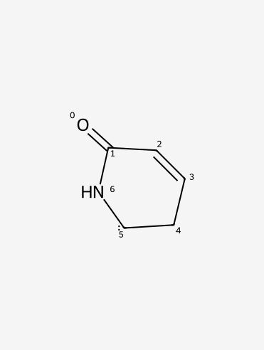 O=C1C=CC[C]N1